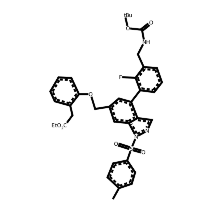 CCOC(=O)Cc1ccccc1OCc1cc(-c2cccc(CNC(=O)OC(C)(C)C)c2F)c2cnn(S(=O)(=O)c3ccc(C)cc3)c2c1